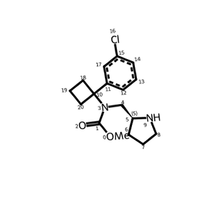 COC(=O)N(C[C@@H]1CCCN1)C1(c2cccc(Cl)c2)CCC1